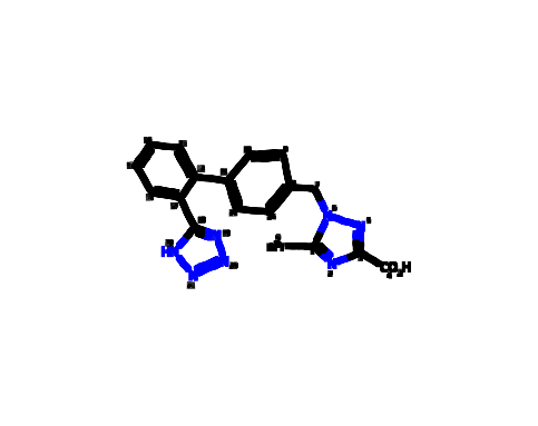 CCCc1nc(C(=O)O)nn1Cc1ccc(-c2ccccc2-c2nnn[nH]2)cc1